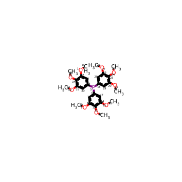 COc1cc(P(c2cc(OC)c(OC)c(OC)c2)c2cc(OC)c(OC)c(OC)c2)cc(OC)c1OC